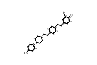 CCc1ccc([C@H]2CC[C@H](CCc3ccc(CCc4ccc(Cl)c(F)c4)cc3)CC2)cc1